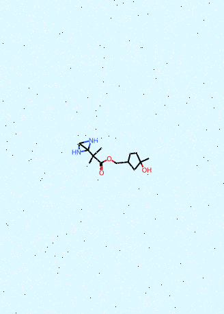 CC1(O)CCC(COC(=O)C(C)(C)C23NC2N3)C1